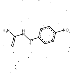 NC(=O)NNc1ccc([N+](=O)[O-])cc1